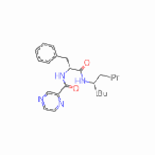 CC(C)C[C@H](NC(=O)[C@H](Cc1ccccc1)NC(=O)c1cnccn1)C(C)(C)C